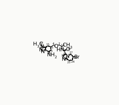 CC(COCc1cc(N)c2nnn(C)c2c1)NC(=O)c1cnc2ccc(Br)cn12